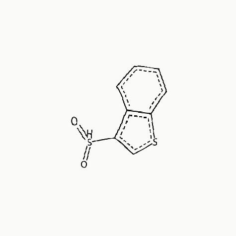 O=[SH](=O)c1csc2ccccc12